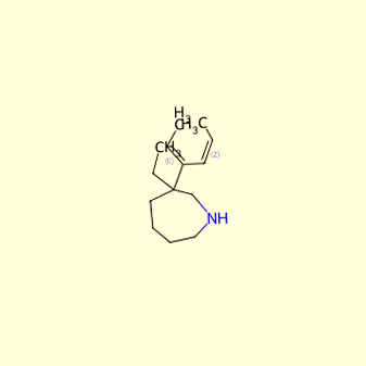 C/C=C\C(=C/C)C1(CC)CCCCNC1